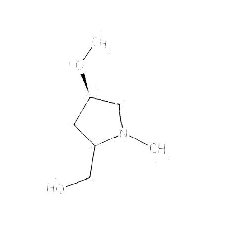 CO[C@@H]1CC(CO)N(C)C1